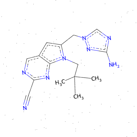 CC(C)(C)Cn1c(Cn2cnc(N)n2)cc2cnc(C#N)nc21